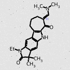 CCN1C(=O)C(C)(C)c2cc3[nH]c4c(c3cc21)CCC/C(=C\N(C)C)C4=O